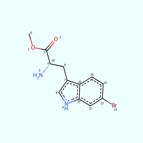 COC(=O)[C@@H](N)Cc1c[nH]c2cc(Br)ccc12